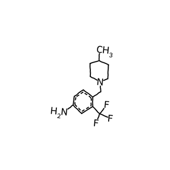 CC1CCN(Cc2ccc(N)cc2C(F)(F)F)CC1